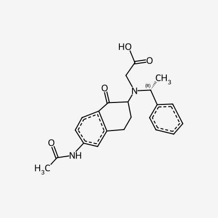 CC(=O)Nc1ccc2c(c1)CCC(N(CC(=O)O)[C@H](C)c1ccccc1)C2=O